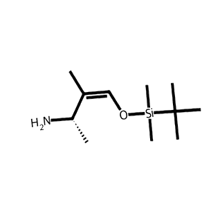 CC(=CO[Si](C)(C)C(C)(C)C)[C@H](C)N